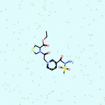 CCOC(=O)C1CSCN1C(=O)C[n+]1cccc(C(=O)N(N)S(C)(=O)=O)c1